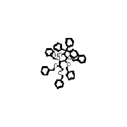 OC(C(OCc1ccccc1)C(OCc1ccccc1)C(OCc1ccccc1)C(COCc1ccccc1)OCc1ccccc1)C(c1ccccc1)(c1ccccc1)c1ccccc1